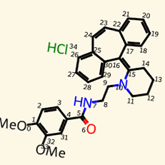 COc1ccc(C(=O)NCCN2CCCCC2=C2c3ccccc3C=Cc3ccccc32)cc1OC.Cl